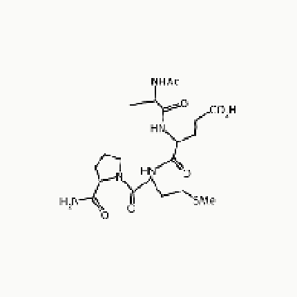 CSCCC(NC(=O)C(CCC(=O)O)NC(=O)C(C)NC(C)=O)C(=O)N1CCCC1C(N)=O